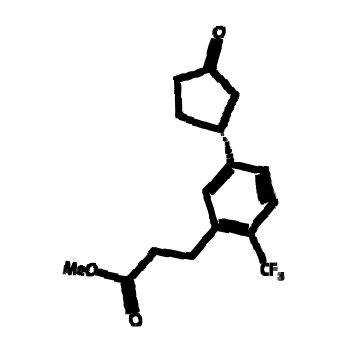 COC(=O)CCc1cc([C@@H]2CCC(=O)C2)ccc1C(F)(F)F